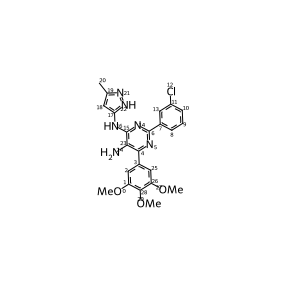 COc1cc(-c2nc(-c3cccc(Cl)c3)nc(Nc3cc(C)n[nH]3)c2N)cc(OC)c1OC